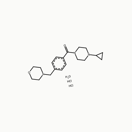 Cl.Cl.O.O=C(c1ccc(CN2CCOCC2)cc1)N1CCN(C2CC2)CC1